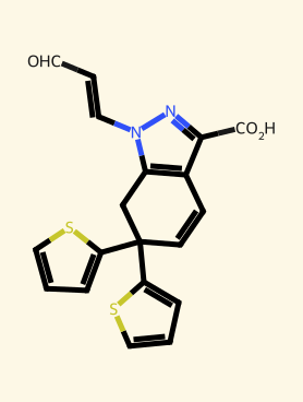 O=CC=Cn1nc(C(=O)O)c2c1CC(c1cccs1)(c1cccs1)C=C2